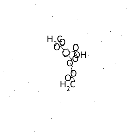 C=CC(=O)OCCOC(=O)c1ccc(C(=O)OC)cc1C(=O)O